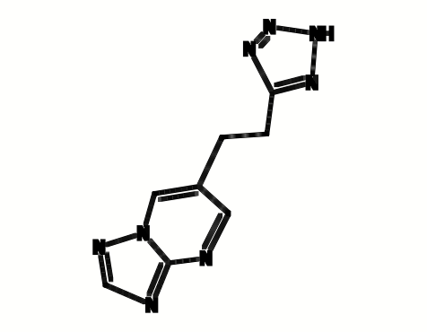 c1nc2ncc(CCc3nn[nH]n3)cn2n1